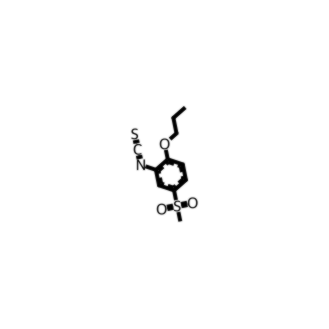 CCCOc1ccc(S(C)(=O)=O)cc1N=C=S